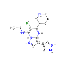 CCNc1c(Br)c(C2CCCNC2)nc2c(-c3cn[nH]c3)cnn12